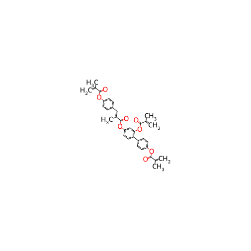 C=C(C)C(=O)Oc1ccc(/C=C(\C)C(=O)Oc2ccc(-c3ccc(OC(=O)C(=C)C)cc3)c(OC(=O)C(=C)C)c2)cc1